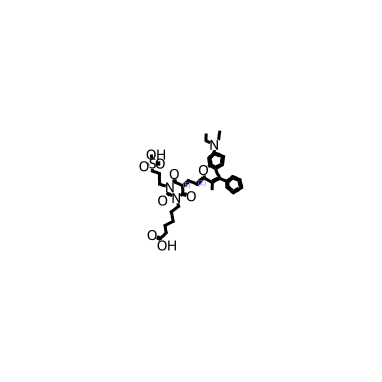 CCN(CC)c1ccc2c(c1)O/C(=C\C=C1/C(=O)N(CCCCCC(=O)O)C(=O)N(CCCS(=O)(=O)O)C1=O)C(C)=C2c1ccccc1